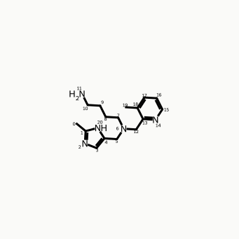 Cc1ncc(CN(CCCCN)Cc2ncccc2C)[nH]1